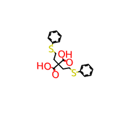 O=C(O)C(CCSc1ccccc1)(CCSc1ccccc1)C(=O)O